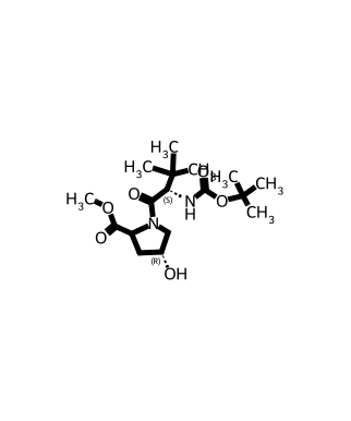 COC(=O)C1C[C@@H](O)CN1C(=O)[C@@H](NC(=O)OC(C)(C)C)C(C)(C)C